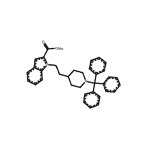 COC(=O)c1cc2ccccc2n1CCC1CCN(C(c2ccccc2)(c2ccccc2)c2ccccc2)CC1